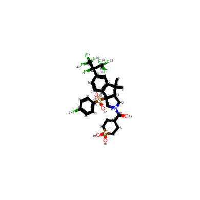 CC1(C)c2cc(C(F)(C(F)(F)F)C(F)(F)F)ccc2C2(S(=O)(=O)c3ccc(F)cc3)CN(C(=O)C3CCS(=O)(=O)CC3)CC12